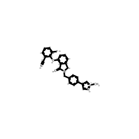 Cn1cc(-c2ccc(CN3Cc4cccc(Oc5c(F)cccc5C#N)c4C3=O)cc2)cn1